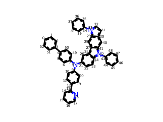 c1ccc(-c2ccc(N(c3ccc(-c4ccccn4)cc3)c3ccc4c(c3)c3cc5c(ccn5-c5ccccc5)cc3n4-c3ccccc3)cc2)cc1